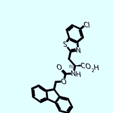 O=C(N[C@@H](Cc1nc2cc(Cl)ccc2s1)C(=O)O)OCC1c2ccccc2-c2ccccc21